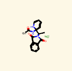 CC(N1C(=O)c2ccccc2C1=O)C1(NC(=O)C(C)(C)C)C=CC=CN1.Cl